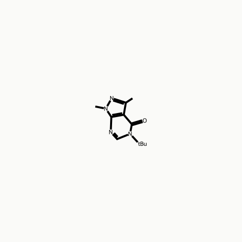 Cc1nn(C)c2ncn(C(C)(C)C)c(=O)c12